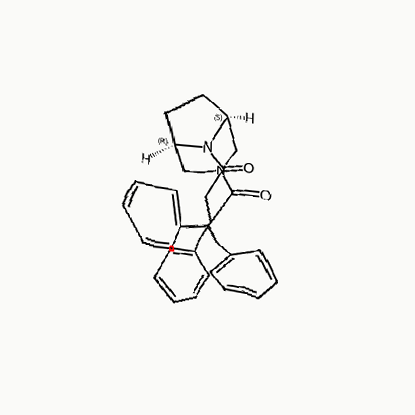 O=C(C(c1ccccc1)c1ccccc1)N1C[C@H]2CC[C@@H](C1)N2C(=O)CCc1ccccc1